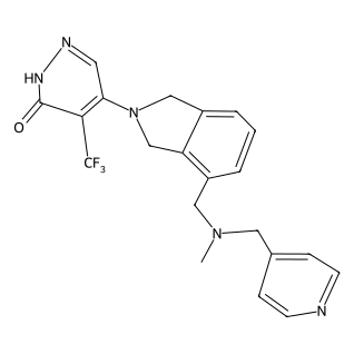 CN(Cc1ccncc1)Cc1cccc2c1CN(c1cn[nH]c(=O)c1C(F)(F)F)C2